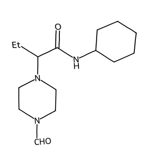 CCC(C(=O)NC1CCCCC1)N1CCN(C=O)CC1